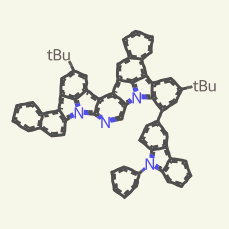 CC(C)(C)c1cc(-c2ccc3c(c2)c2ccccc2n3-c2ccccc2)c2c(c1)c1c3ccccc3cc3c4c5c6cc(C(C)(C)C)cc7c8c9ccccc9ccc8n(c5ncc4n2c31)c76